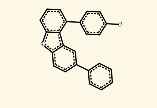 Clc1ccc(-c2cccc3sc4ccc(-c5ccccc5)cc4c23)cc1